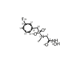 CN(CC(=O)NO)S(=O)(=O)Cc1cccc(F)c1